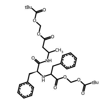 CC(CC(=O)OCOC(=O)C(C)(C)C)NC(=O)[C@H](Cc1ccccc1)NC(Cc1ccccc1)C(=O)OCOC(=O)C(C)(C)C